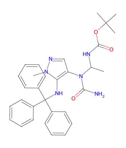 CC(NC(=O)OC(C)(C)C)N(C(N)=O)c1cnn(C)c1NC(c1ccccc1)(c1ccccc1)c1ccccc1